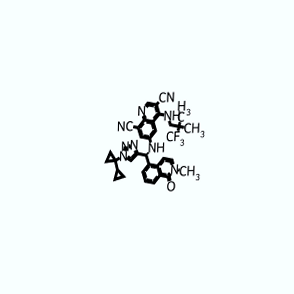 Cn1ccc2c([C@H](Nc3cc(C#N)c4ncc(C#N)c(NCC(C)(C)C(F)(F)F)c4c3)c3cn(C4(C5CC5)CC4)nn3)cccc2c1=O